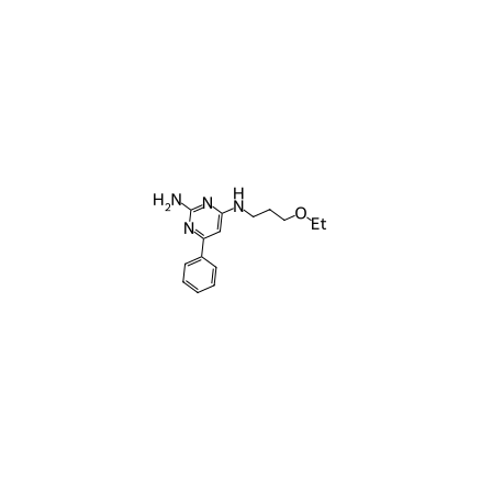 CCOCCCNc1cc(-c2ccccc2)nc(N)n1